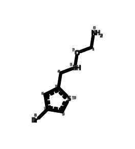 NCOBCc1cc(Br)cs1